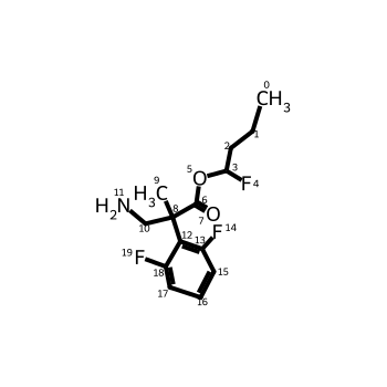 CCCC(F)OC(=O)C(C)(CN)c1c(F)cccc1F